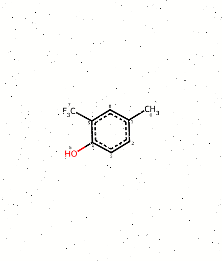 Cc1ccc(O)c(C(F)(F)F)c1